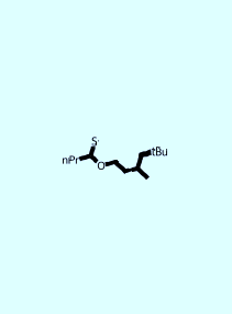 CCCC([S])OCCC(C)CC(C)(C)C